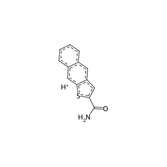 NC(=O)c1cc2cc3ccccc3cc2s1.[H+]